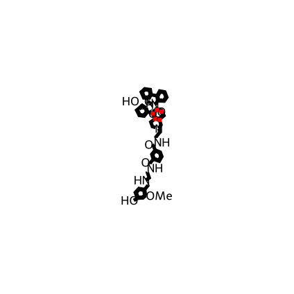 COc1cc(O)ccc1CNCCNC(=O)c1cccc(C(=O)NCCN2CCC(OC(=O)N(c3ccccc3-c3ccccc3)N(C(=O)O)c3ccccc3-c3ccccc3)CC2)c1